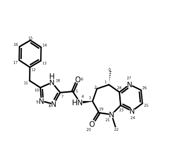 C[C@H]1C[C@H](NC(=O)c2nnc(Cc3ccccc3)[nH]2)C(=O)N(C)c2nccnc21